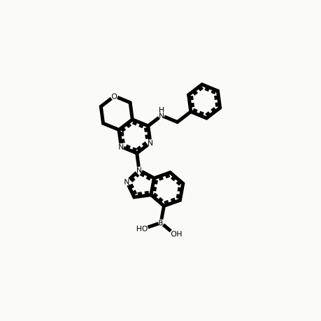 OB(O)c1cccc2c1cnn2-c1nc2c(c(NCc3ccccc3)n1)COCC2